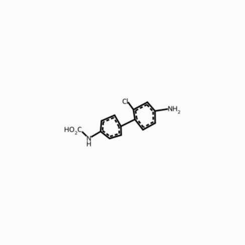 Nc1ccc(-c2ccc(NC(=O)O)cc2)c(Cl)c1